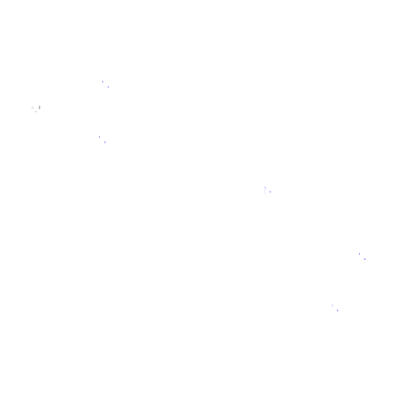 COc1ncc(-c2cccc3c2-c2ccccc2C3NC(=O)c2ccnc3[nH]ccc23)cn1